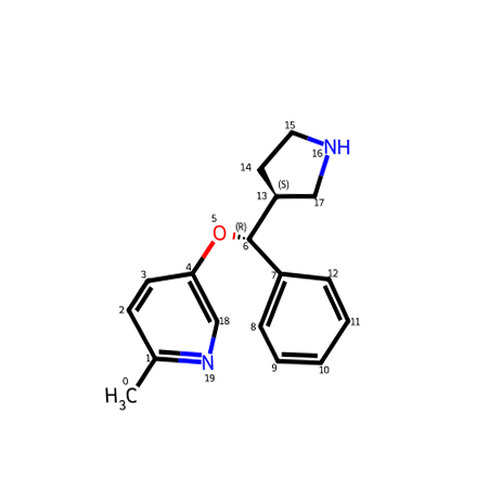 Cc1ccc(O[C@@H](c2ccccc2)[C@H]2CCNC2)cn1